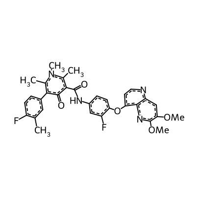 COc1cc2nccc(Oc3ccc(NC(=O)c4c(C)n(C)c(C)c(-c5ccc(F)c(C)c5)c4=O)cc3F)c2nc1OC